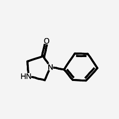 O=C1CNCN1c1ccccc1